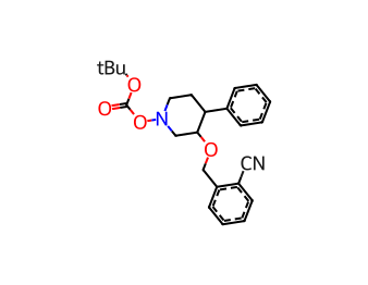 CC(C)(C)OC(=O)ON1CCC(c2ccccc2)C(OCc2ccccc2C#N)C1